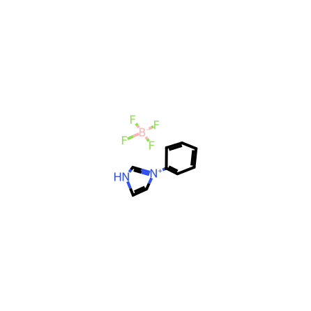 F[B-](F)(F)F.c1ccc(-[n+]2cc[nH]c2)cc1